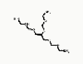 NCNCOCC(COCNCN)OCNCN